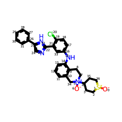 [O-][S+]1CCC([N+]2([O-])CCc3c(cccc3Nc3ccc(Cl)c(-c4ncc(-c5ccccc5)[nH]4)c3)C2)CC1